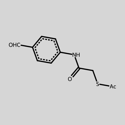 CC(=O)SCC(=O)Nc1ccc(C=O)cc1